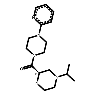 CC(C)N1CCN[C@@H](C(=O)N2CCN(c3ccccn3)CC2)C1